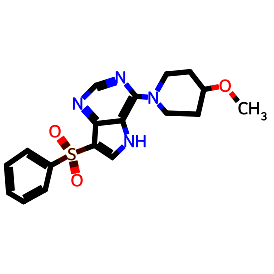 COC1CCN(c2ncnc3c(S(=O)(=O)c4ccccc4)c[nH]c23)CC1